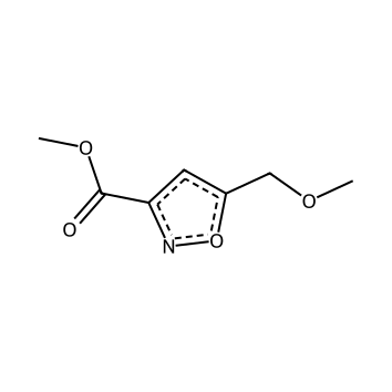 COCc1cc(C(=O)OC)no1